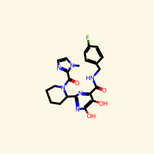 Cn1ccnc1C(=O)N1CCCCC1c1nc(O)c(O)c(C(=O)NCc2ccc(F)cc2)n1